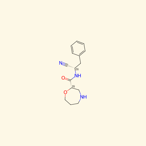 N#C[C@H](Cc1ccccc1)NC(=O)[C@@H]1CNCCCO1